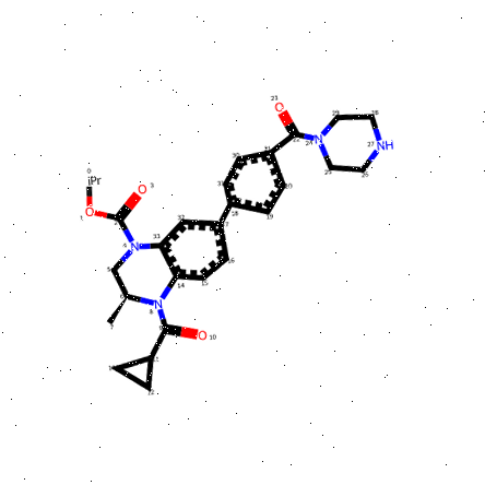 CC(C)OC(=O)N1C[C@H](C)N(C(=O)C2CC2)c2ccc(-c3ccc(C(=O)N4CCNCC4)cc3)cc21